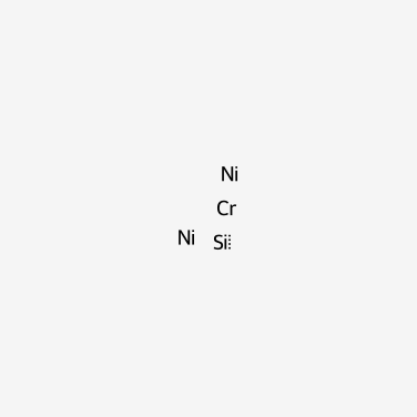 [Cr].[Ni].[Ni].[Si]